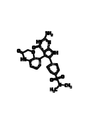 CN(C)S(=O)(=O)c1ccc(-c2[nH]c3nc(N)[nH]c(=O)c3c2-c2cccc3c2OCC(=O)N3)cc1